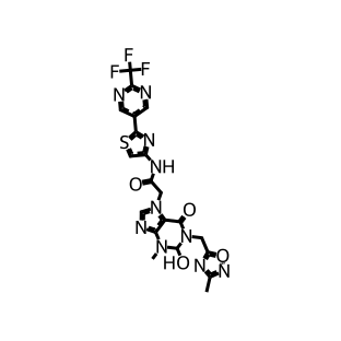 Cc1noc(CN2C(=O)c3c(ncn3CC(=O)Nc3csc(-c4cnc(C(F)(F)F)nc4)n3)N(C)C2O)n1